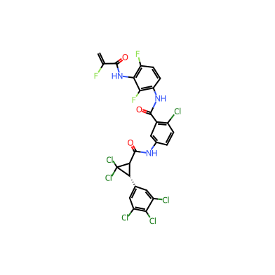 C=C(F)C(=O)Nc1c(F)ccc(NC(=O)c2cc(NC(=O)C3[C@H](c4cc(Cl)c(Cl)c(Cl)c4)C3(Cl)Cl)ccc2Cl)c1F